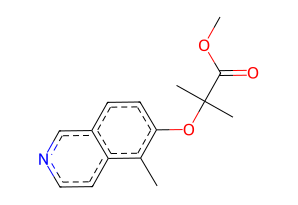 COC(=O)C(C)(C)Oc1ccc2cnccc2c1C